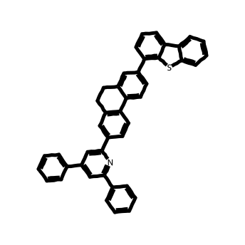 c1ccc(-c2cc(-c3ccccc3)nc(-c3ccc4c(c3)CCc3cc(-c5cccc6c5sc5ccccc56)ccc3-4)c2)cc1